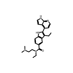 CCc1c(-c2ccnc3[nH]ccc23)[nH]c2ccc(C(=O)N(CC)CCN(C)C)cc12